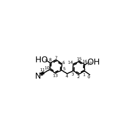 Cc1cc(Cc2ccc(O)c(C#N)c2)ccc1O